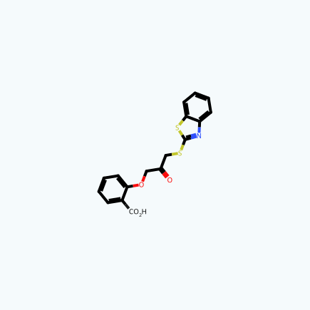 O=C(COc1ccccc1C(=O)O)CSc1nc2ccccc2s1